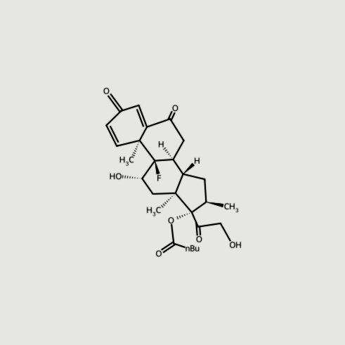 CCCCC(=O)O[C@@]1(C(=O)CO)[C@H](C)C[C@H]2[C@@H]3CC(=O)C4=CC(=O)C=C[C@]4(C)[C@@]3(F)[C@@H](O)C[C@@]21C